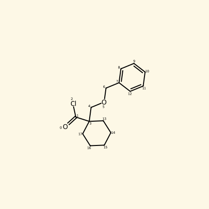 O=C(Cl)C1(COCc2ccccc2)CCCCC1